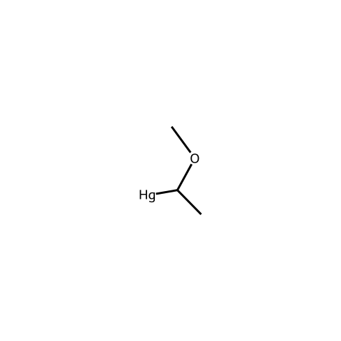 CO[CH](C)[Hg]